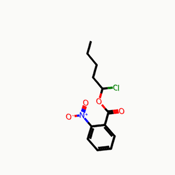 CCCCC(Cl)OC(=O)c1ccccc1[N+](=O)[O-]